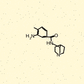 Cc1ccc(C(=O)NC2CN3CCC2CC3)cc1N